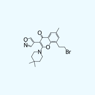 Cc1cc(CCBr)c2oc(N3CCC(C)(C)CC3)c(-c3cnoc3)c(=O)c2c1